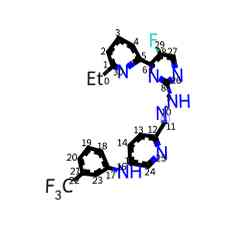 CCc1cccc(-c2nc(N/N=C/c3ccc(Nc4cccc(C(F)(F)F)c4)cn3)ncc2F)n1